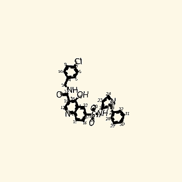 O=C(NCc1ccc(Cl)cc1)c1cnc2ccc(S(=O)(=O)Nc3ccnn3-c3ccccc3)cc2c1O